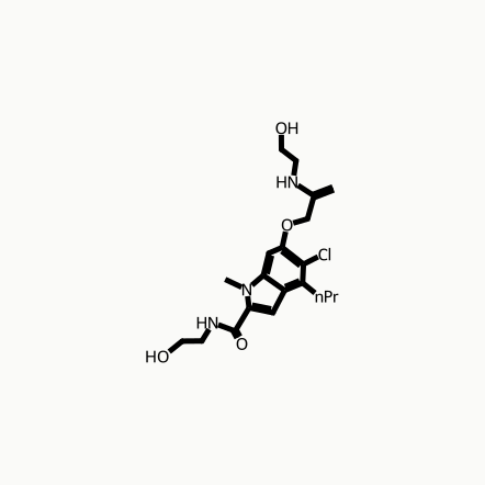 C=C(COc1cc2c(cc(C(=O)NCCO)n2C)c(CCC)c1Cl)NCCO